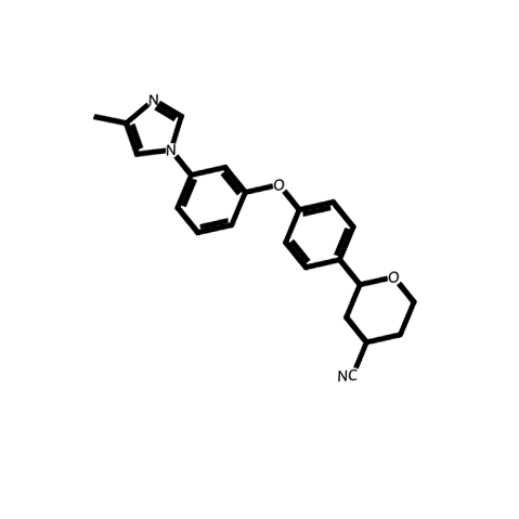 Cc1cn(-c2cccc(Oc3ccc(C4CC(C#N)CCO4)cc3)c2)cn1